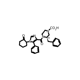 O=C1CCCCC1n1cnc(C(=O)N2CCN(C(=O)O)C[C@H]2Cc2ccccc2)c1-c1ccccc1